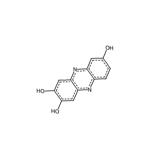 Oc1ccc2nc3cc(O)c(O)cc3nc2c1